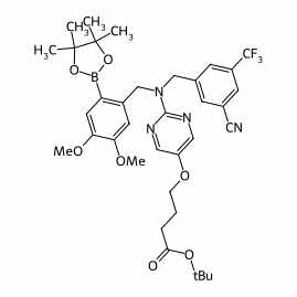 COc1cc(CN(Cc2cc(C#N)cc(C(F)(F)F)c2)c2ncc(OCCCC(=O)OC(C)(C)C)cn2)c(B2OC(C)(C)C(C)(C)O2)cc1OC